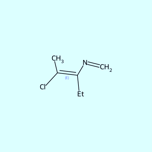 C=N/C(CC)=C(\C)Cl